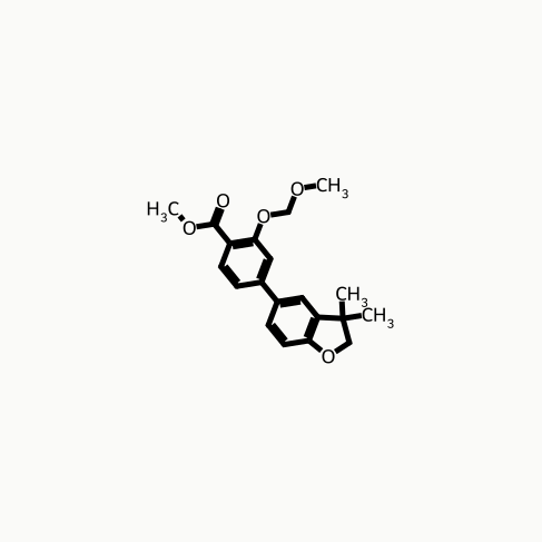 COCOc1cc(-c2ccc3c(c2)C(C)(C)CO3)ccc1C(=O)OC